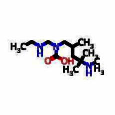 CCNCN(CC(C)CC(C)(C)NC)C(=O)O